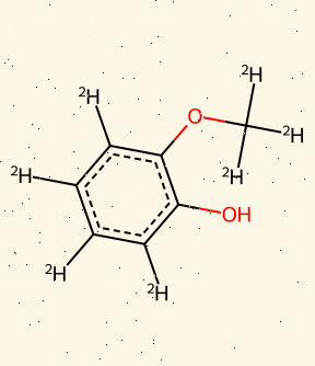 [2H]c1c([2H])c([2H])c(OC([2H])([2H])[2H])c(O)c1[2H]